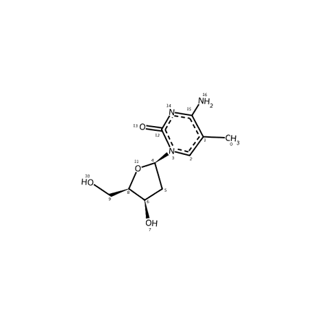 Cc1cn([C@H]2C[C@@H](O)[C@@H](CO)O2)c(=O)nc1N